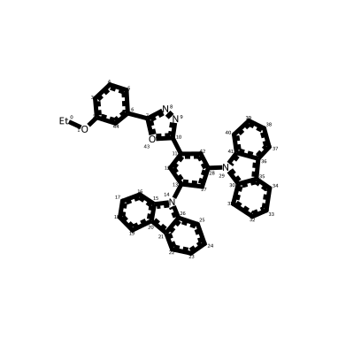 CCOc1cccc(-c2nnc(-c3cc(-n4c5ccccc5c5ccccc54)cc(-n4c5ccccc5c5ccccc54)c3)o2)c1